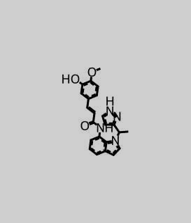 COc1ccc(C=CC(=O)Nc2cccc3ccn(C(C)c4cc[nH]n4)c23)cc1O